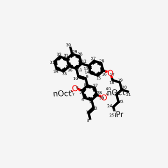 C/C=C/c1cc(OCCCCCCCC)c(/C=C/c2c(-c3ccc(OCCC(C)CCCC(C)C)cc3)cc(C)c3ccccc23)cc1OCCCCCCCC